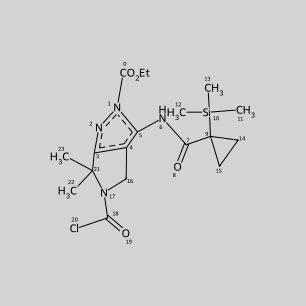 CCOC(=O)n1nc2c(c1NC(=O)C1([Si](C)(C)C)CC1)CN(C(=O)Cl)C2(C)C